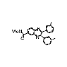 CNC(=O)c1ccc2nc(-c3cccc(C)c3)c(-c3cccc(C)c3)nc2c1